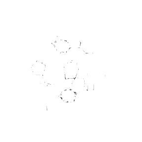 CC(C)C1CCc2ncnc(N3CCC4(CC3)CNc3cccc(CNC5CCCC5)c34)c21.Cl.Cl.Cl